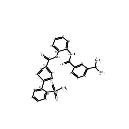 NC(N)c1cccc(C(=O)Nc2ccccc2NC(=O)c2ccc(-c3ccccc3S(N)(=O)=O)cc2)c1